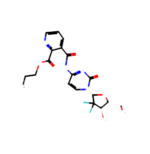 CCCCCCCCCCCCOC(=O)c1ncccc1C(=O)Nc1ccn([C@@H]2O[C@H](CO)[C@@H](O)C2(F)F)c(=O)n1